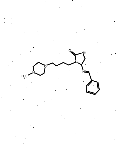 CN1CCN(CCCCN2C(=O)NCC2N=Cc2ccccc2)CC1